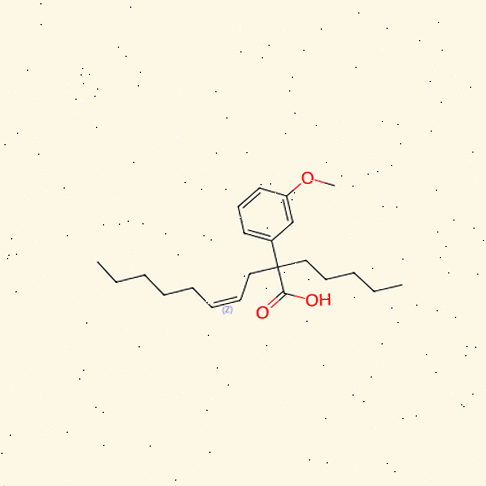 CCCCC/C=C\CC(CCCCC)(C(=O)O)c1cccc(OC)c1